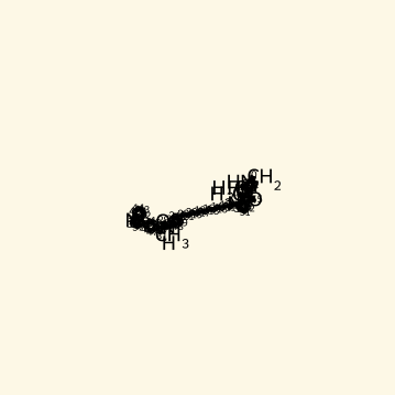 C=C1CCC(N2C(=C)c3c(NCCCCCCCCCCCCc4ccc(NC(=O)C(C)C5CCC(c6ccnc7c6C=CCC7)CC5)cc4)cccc3C2=O)C(=C)N1